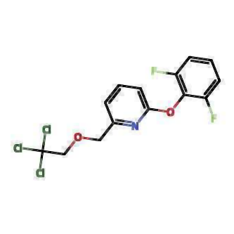 Fc1cccc(F)c1Oc1cccc(COCC(Cl)(Cl)Cl)n1